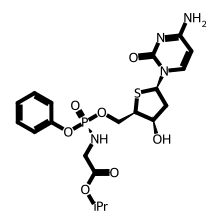 CC(C)OC(=O)CN[P@](=O)(OC[C@H]1S[C@@H](n2ccc(N)nc2=O)C[C@H]1O)Oc1ccccc1